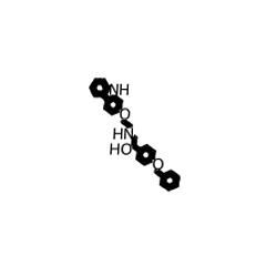 OC(CNCCOc1ccc2c(c1)[nH]c1ccccc12)c1ccc(OCc2ccccc2)cc1